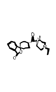 CCN1CCN(C(=O)[C@H]2CC[C@@]3(CC2)OC(=O)c2ccccc23)[C@@H](C)C1